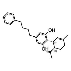 C=C(C)[C@@H]1CCC(C)=C[C@H]1c1c(O)cc(CCCCc2ccccc2)cc1O